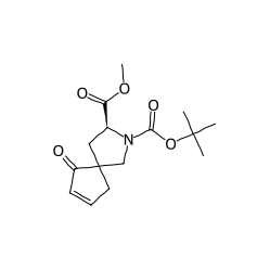 COC(=O)[C@@H]1CC2(CC=CC2=O)CN1C(=O)OC(C)(C)C